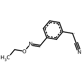 CCO/N=C/c1cccc([CH]C#N)c1